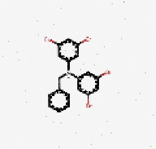 Brc1cc(Br)cc([SiH](Cc2ccccc2)c2cc(Br)cc(Br)c2)c1